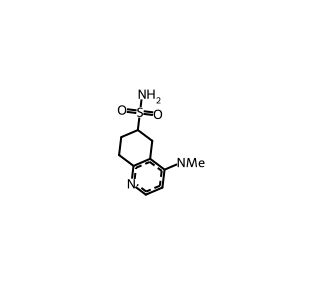 CNc1ccnc2c1CC(S(N)(=O)=O)CC2